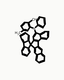 Cc1ccc(C)c(N(c2ccccc2)c2cc3c(c4ccccc24)-c2cc4ccccc4cc2C32c3ccccc3-c3ccccc32)c1